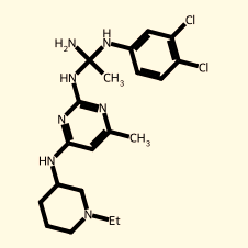 CCN1CCCC(Nc2cc(C)nc(NC(C)(N)Nc3ccc(Cl)c(Cl)c3)n2)C1